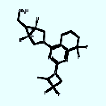 CC1N(c2nc(N3C[C@@H]4C(CC(=O)O)[C@@H]4C3)c3c(n2)C(F)(F)CCC3)CC1(F)F